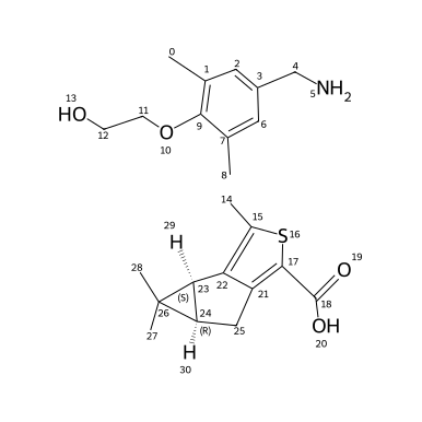 Cc1cc(CN)cc(C)c1OCCO.Cc1sc(C(=O)O)c2c1[C@H]1[C@@H](C2)C1(C)C